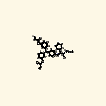 C=CC(=O)Oc1cccc(N(c2ccc(/C=C(\c3ccccc3)C(C)CCCCC)cc2)c2cccc(OC(=O)C=C)c2)c1